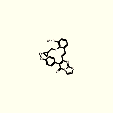 CCOc1ccc(-c2c(C=Cc3cccc(OC)c3OCC3CC3)nc3sccn3c2=O)cc1